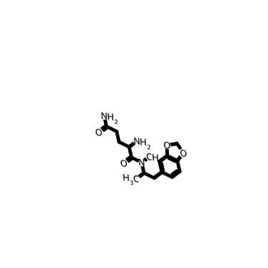 CC(Cc1ccc2c(c1)OCO2)N(C)C(=O)C(N)CCC(N)=O